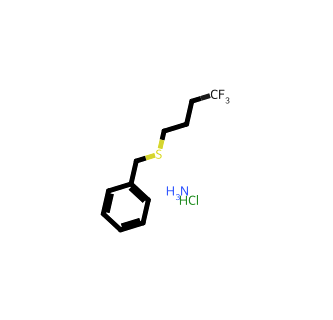 Cl.FC(F)(F)CCCSCc1ccccc1.N